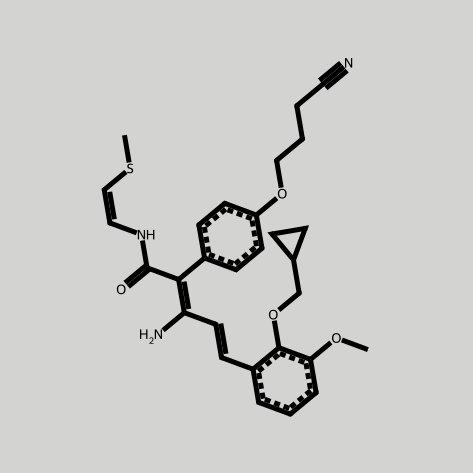 COc1cccc(/C=C/C(N)=C(/C(=O)N/C=C\SC)c2ccc(OCCCC#N)cc2)c1OCC1CC1